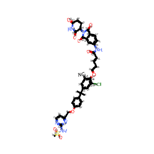 CC(C)(c1ccc(OCc2ccnc(NS(C)(=O)=O)n2)cc1)c1cc(Cl)c(OCCCCC(=O)Nc2ccc3c(c2)C(=O)N(C2CCC(=O)NC2=O)C3=O)c(C#N)c1